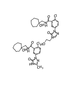 Cc1nn(-c2ccc(Cl)c(C(=O)NCC3(O)CCCCCC3)c2)c(=O)[nH]1.O=C(NCC1(O)CCCCCC1)c1cc(-n2ncn(CCO)c2=O)ccc1Cl